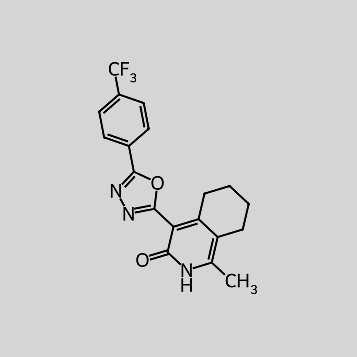 Cc1[nH]c(=O)c(-c2nnc(-c3ccc(C(F)(F)F)cc3)o2)c2c1CCCC2